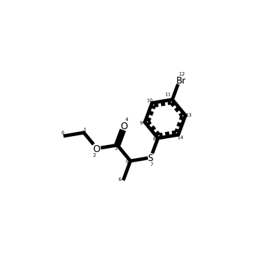 CCOC(=O)C(C)Sc1ccc(Br)cc1